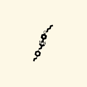 CCCCCOc1ccc(-c2ncc(CC[C@H]3CC[C@H](CCC)CC3)cn2)cc1